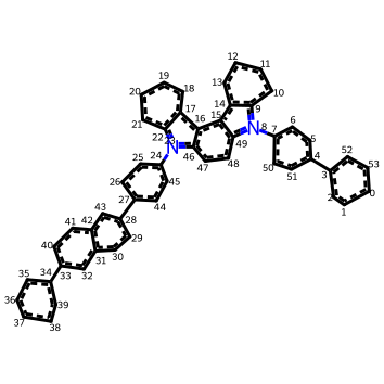 c1ccc(-c2ccc(-n3c4ccccc4c4c5c6ccccc6n(-c6ccc(-c7ccc8cc(-c9ccccc9)ccc8c7)cc6)c5ccc43)cc2)cc1